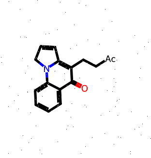 CC(=O)CCc1c2n(c3ccccc3c1=O)CC=C2